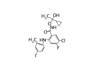 Cc1cc(I)ccc1Nc1cc(F)c(Cl)cc1C(=O)NOC(C)(O)C1CC1